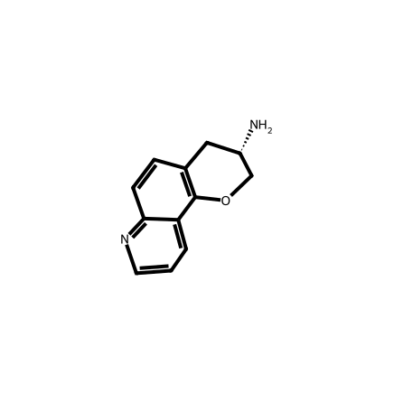 N[C@@H]1COc2c(ccc3ncccc23)C1